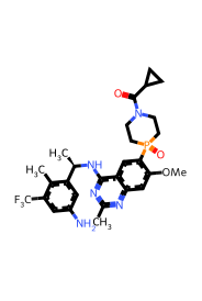 COc1cc2nc(C)nc(N[C@H](C)c3cc(N)cc(C(F)(F)F)c3C)c2cc1P1(=O)CCN(C(=O)C2CC2)CC1